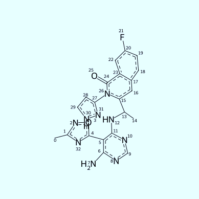 Cc1noc(-c2c(N)ncnc2NC(C)c2cc3ccc(F)cc3c(=O)n2-c2cc[nH]n2)n1